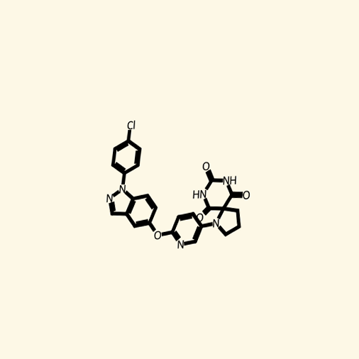 O=C1NC(=O)C2(CCCN2c2ccc(Oc3ccc4c(cnn4-c4ccc(Cl)cc4)c3)nc2)C(=O)N1